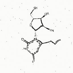 C=CCc1cc(=O)[nH]c(=O)n1[C@@H]1O[C@H](CS)[C@@H](O)[C@H]1O